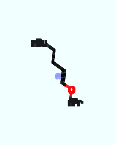 CC[CH]O/C=C/CCCCCC